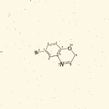 Brc1ccc2c(c1)N=CCO2